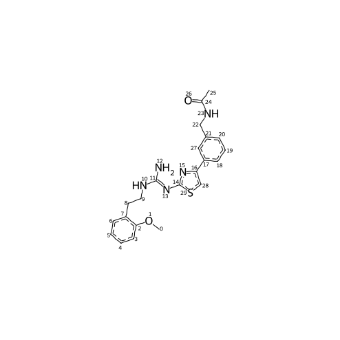 COc1ccccc1CCNC(N)=Nc1nc(-c2cccc(CNC(C)=O)c2)cs1